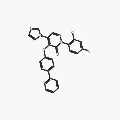 O=c1c(Oc2ccc(-c3ccccc3)cc2)c(-n2ccnc2)cnn1-c1ccc(Cl)cc1Cl